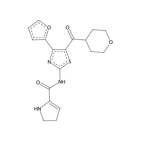 O=C(Nc1nc(-c2ccco2)c(C(=O)C2CCOCC2)s1)C1=CCCN1